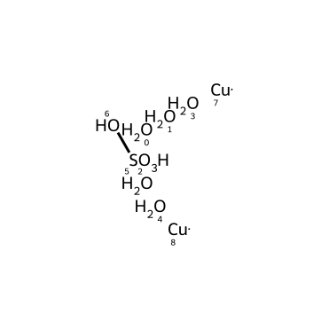 O.O.O.O.O.O=S(=O)(O)O.[Cu].[Cu]